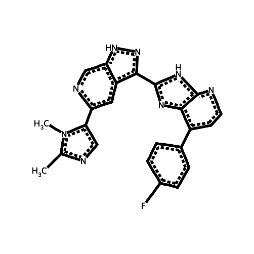 Cc1ncc(-c2cc3c(-c4nc5c(-c6ccc(F)cc6)ccnc5[nH]4)n[nH]c3cn2)n1C